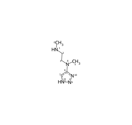 CNCCN(C)c1c[nH]nn1